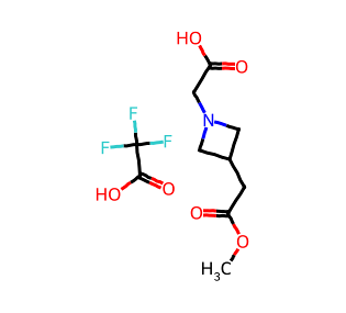 COC(=O)CC1CN(CC(=O)O)C1.O=C(O)C(F)(F)F